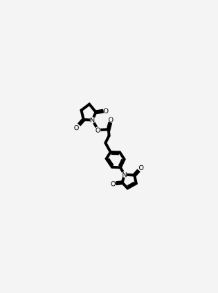 O=C(CCc1ccc(N2C(=O)C=CC2=O)cc1)ON1C(=O)CCC1=O